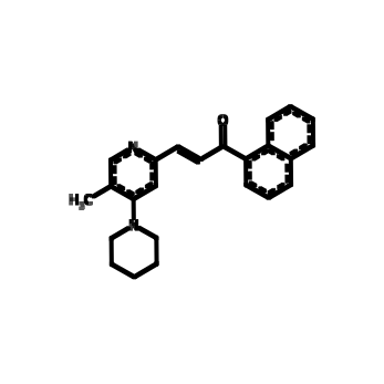 Cc1cnc(C=CC(=O)c2cccc3ccccc23)cc1N1CCCCC1